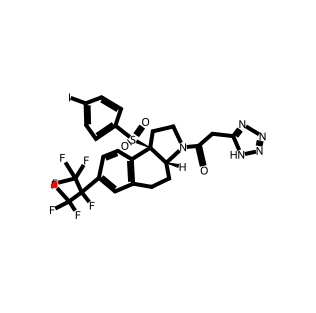 O=C(Cc1nnn[nH]1)N1CC[C@@]2(S(=O)(=O)c3ccc(I)cc3)c3ccc(C(F)(C(F)(F)F)C(F)(F)F)cc3CC[C@@H]12